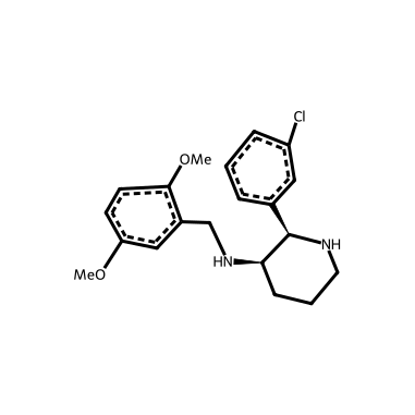 COc1ccc(OC)c(CN[C@@H]2CCCN[C@@H]2c2cccc(Cl)c2)c1